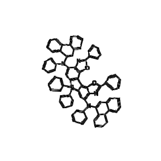 c1ccc(-c2nc3c(N(c4ccccc4)c4cc5ccccc5c5ccccc45)cc4c(c3o2)-c2c(cc(N(c3ccccc3)c3cc5ccccc5c5ccccc35)c3nc(-c5ccccc5)oc23)[Si]4(c2ccccc2)c2ccccc2)cc1